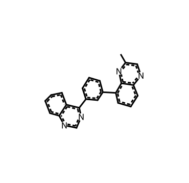 Cc1cnc2cccc(-c3cccc(-c4ncnc5ccccc45)c3)c2n1